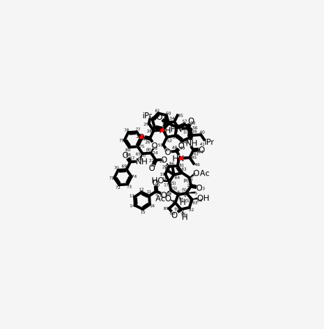 CC(=O)O[C@H]1C(=O)[C@@]2(C)[C@H]([C@H](OC(=O)c3ccccc3)[C@]3(O)C[C@H](OC(=O)[C@H](OC(=O)C(CC(C)C)NC(=O)C(C)NC(=O)C(CC(C)C)NC(=O)C(C)NC(=O)OCC4c5ccccc5-c5ccccc54)[C@@H](NC(=O)c4ccccc4)c4ccccc4)C(C)=C1C3(C)C)[C@]1(OC(C)=O)CO[C@@H]1C[C@@H]2O